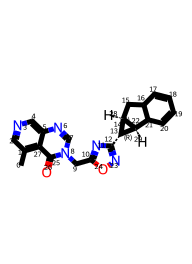 Cc1cncc2ncn(Cc3nc([C@@H]4[C@H]5CC6C=CC=CC6[C@H]54)no3)c(=O)c12